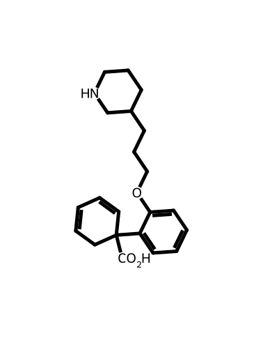 O=C(O)C1(c2ccccc2OCCCC2CCCNC2)C=CC=CC1